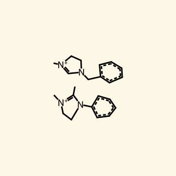 CC1=[N+](C)CCN1c1ccccc1.C[N+]1=CN(Cc2ccccc2)CC1